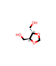 OC[C@@H]1OCO[C@H]1CO